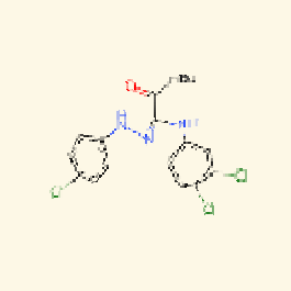 CCCCC(=O)/C(=N\Nc1ccc(Cl)cc1)Nc1ccc(Cl)c(Cl)c1